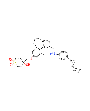 Cc1cc(OCC2(O)CCS(=O)(=O)CC2)cc2c1-c1cc(CNc3ccc([C@H]4C[C@@H]4C(=O)O)cc3)ccc1CCC2